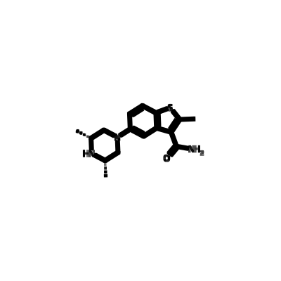 Cc1sc2ccc(N3C[C@@H](C)N[C@@H](C)C3)cc2c1C(N)=O